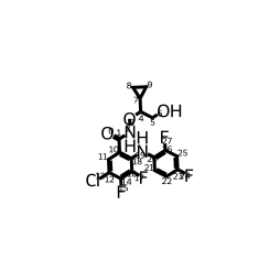 O=C(NOC(CO)C1CC1)c1cc(Cl)c(F)c(F)c1Nc1ccc(F)cc1F